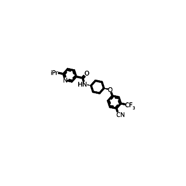 CC(C)c1ccc(C(=O)N[C@H]2CC[C@H](Oc3ccc(C#N)c(C(F)(F)F)c3)CC2)cn1